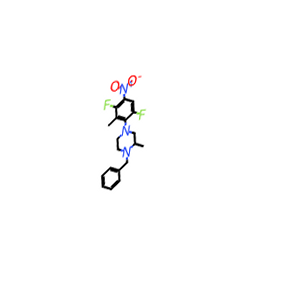 Cc1c(F)c([N+](=O)[O-])cc(F)c1N1CCN(Cc2ccccc2)C(C)C1